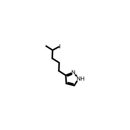 CC(I)CCCc1cc[nH]n1